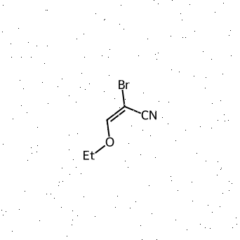 CCO/C=C(/Br)C#N